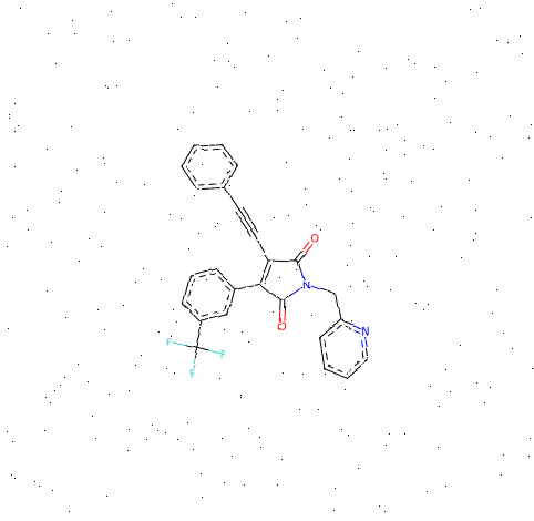 O=C1C(C#Cc2ccccc2)=C(c2cccc(C(F)(F)F)c2)C(=O)N1Cc1ccccn1